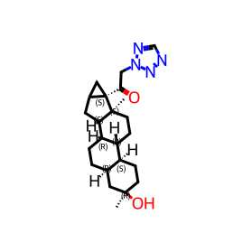 C[C@@]1(O)CC[C@H]2[C@H](CC[C@@H]3[C@@H]2CC[C@@]2(C)[C@H]3CC3C[C@]32C(=O)Cn2ncnn2)C1